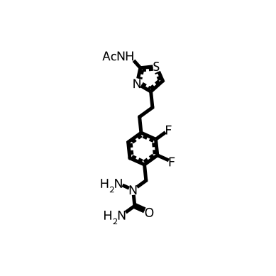 CC(=O)Nc1nc(CCc2ccc(CN(N)C(N)=O)c(F)c2F)cs1